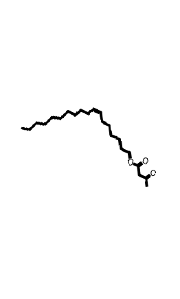 CCCCCCCCCC/C=C\CCCCCCOC(=O)CC(C)=O